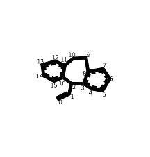 C=CC1c2ccccc2CCc2ccccc21